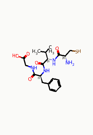 CC(C)[C@H](NC(=O)[C@@H](N)CS)C(=O)N[C@@H](Cc1ccccc1)C(=O)NCC(=O)O